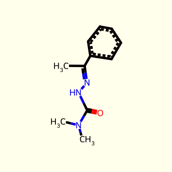 CC(=NNC(=O)N(C)C)c1ccccc1